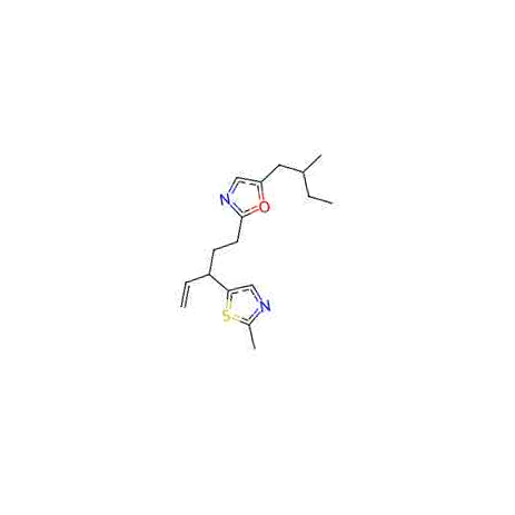 C=CC(CCc1ncc(CC(C)CC)o1)c1cnc(C)s1